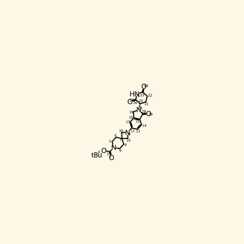 CC(C)(C)OC(=O)N1CCC2(CC1)CN(c1ccc3c(c1)CN([C@@H]1CCC(=O)NC1=O)C3=O)C2